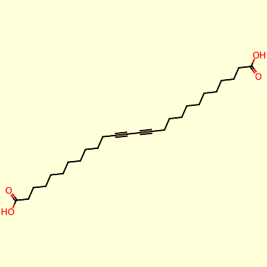 O=C(O)CCCCCCCCCCC#CC#CCCCCCCCCCCC(=O)O